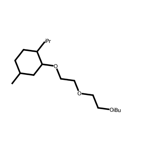 CC(C)COCCOCCOC1CC(C)CCC1C(C)C